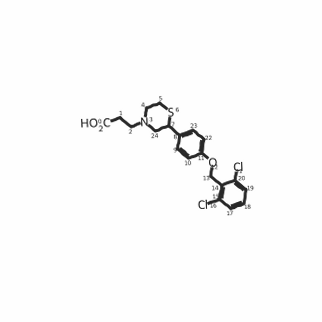 O=C(O)CCN1CCSC(c2ccc(OCc3c(Cl)cccc3Cl)cc2)C1